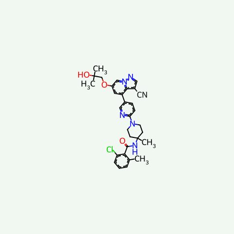 Cc1cccc(Cl)c1C(=O)NC1(C)CCN(c2ccc(-c3cc(OCC(C)(C)O)cn4ncc(C#N)c34)cn2)CC1